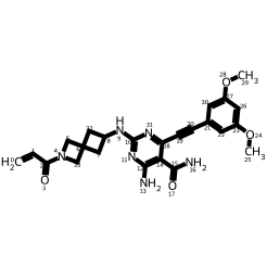 C=CC(=O)N1CC2(CC(Nc3nc(N)c(C(N)=O)c(C#Cc4cc(OC)cc(OC)c4)n3)C2)C1